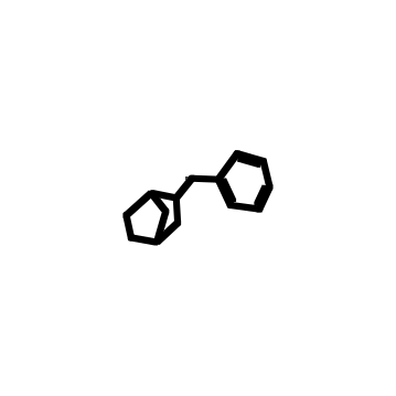 [CH](c1ccccc1)C1CC2CCC1C2